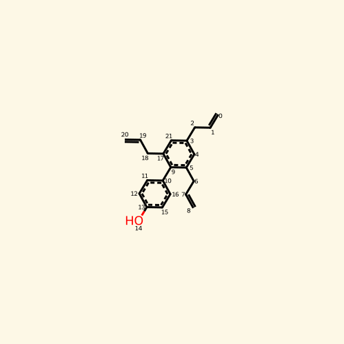 C=CCc1cc(CC=C)c(-c2ccc(O)cc2)c(CC=C)c1